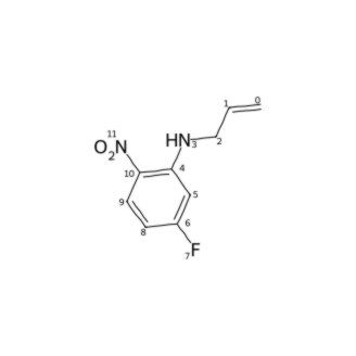 C=CCNc1cc(F)ccc1[N+](=O)[O-]